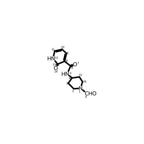 O=CN1CCC(NC(=O)c2ccc[nH]c2=O)CC1